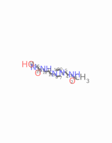 CC(=O)NCCN1CCN(CCCNC(=O)/C=N/O)CC1